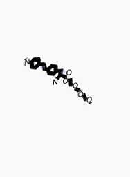 COCCOCCOCCOC(=O)/C(C#N)=C/c1ccc(/C=C/c2ccc(N(C)C)cc2)cc1